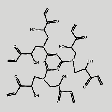 C=CC(=O)C(O)CN(CC(O)C(=O)C=C)c1nc(N(CC(O)C(=O)C=C)CC(O)C(=O)C=C)nc(N(CC(O)C(=O)C=C)CC(O)C(=O)C=C)n1